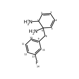 NC1C=CC=CC1(N)Cc1cccc(F)c1